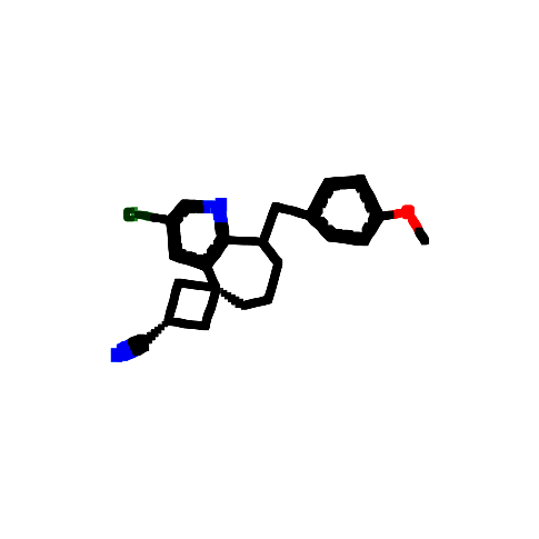 COc1ccc(CC2CCC[C@]3(C[C@@H](C#N)C3)c3cc(Cl)cnc32)cc1